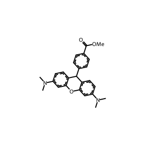 COC(=O)c1ccc(C2c3ccc(N(C)C)cc3Oc3cc(N(C)C)ccc32)cc1